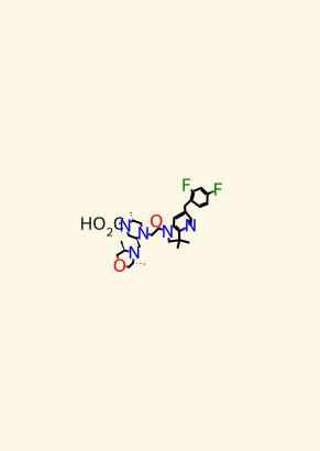 C[C@@H]1CN(CC(=O)N2CC(C)(C)c3ncc(Cc4ccc(F)cc4F)cc32)[C@@H](CN2[C@H](C)COC[C@H]2C)CN1C(=O)O